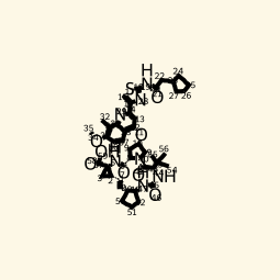 C=C[C@@H]1C[C@]1(NC(=O)[C@@H]1C[C@@H](Oc2cc(-c3csc(NC(=O)CC4CCCC4)n3)nc3c(C)c(OC)ccc23)CN1C(=O)[C@@H](NC(=O)NC1CCCC1)C(C)(C)C)C(=O)O